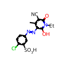 CCn1c(O)c(N=Nc2ccc(Cl)c(S(=O)(=O)O)c2)c(C)c(C#N)c1=O